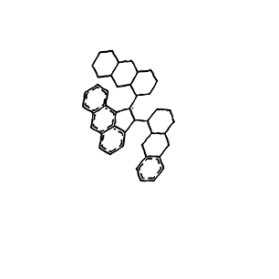 c1ccc2c(c1)CC1CCCC(C3[C](C4CCCC5CC6CCCCC6CC54)c4c5ccccc5cc5cccc3c45)C1C2